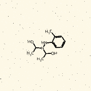 Cc1ccccc1NN(C(C)O)C(C)O